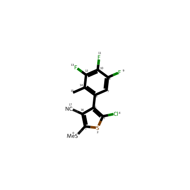 CSc1sc(Cl)c(-c2cc(F)c(F)c(F)c2C)c1C#N